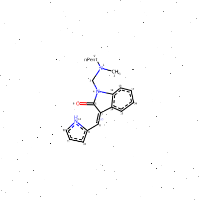 CCCCCN(C)CN1C(=O)/C(=C\c2ccc[nH]2)c2ccccc21